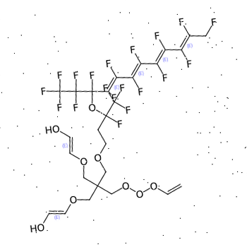 C=COOOCC(CO/C=C/O)(CO/C=C/O)COCCC(F)(OC(F)(/C(F)=C(F)/C(F)=C(F)/C(F)=C(F)/C(F)=C(\F)CF)C(F)(F)C(F)(F)F)C(F)(F)F